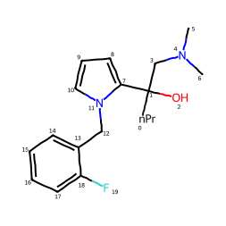 CCCC(O)(CN(C)C)c1cccn1Cc1ccccc1F